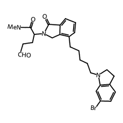 CNC(=O)C(CCC=O)N1Cc2c(CCCCCN3CCc4ccc(Br)cc43)cccc2C1=O